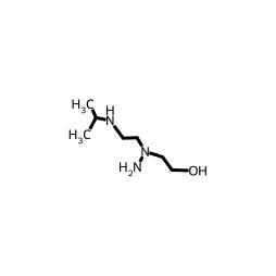 CC(C)NCCN(N)CCO